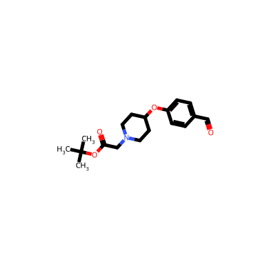 CC(C)(C)OC(=O)CN1CCC(Oc2ccc(C=O)cc2)CC1